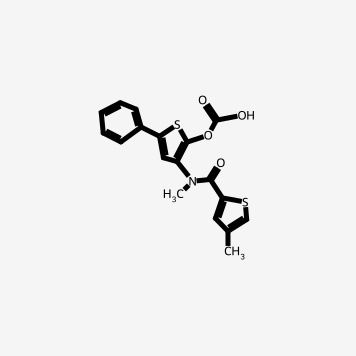 Cc1csc(C(=O)N(C)c2cc(-c3ccccc3)sc2OC(=O)O)c1